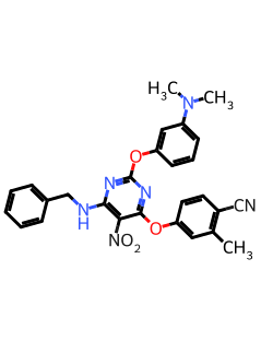 Cc1cc(Oc2nc(Oc3cccc(N(C)C)c3)nc(NCc3ccccc3)c2[N+](=O)[O-])ccc1C#N